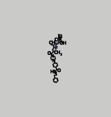 C=CC(=C(F)\C=C(/C)C(=O)N1CCN(c2ccc(C(=O)NSCc3ccccc3)cc2)CC1)/C(/C=C(O)\C=N\CC)=C/C